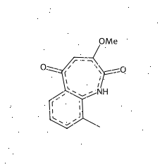 COc1cc(=O)c2cccc(C)c2[nH]c1=O